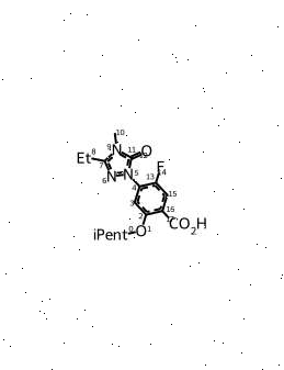 CCCC(C)Oc1cc(-n2nc(CC)n(C)c2=O)c(F)cc1C(=O)O